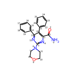 NC(=O)c1nc(N2CCOCC2)nc(-c2ccccc2)c1-c1ccccc1